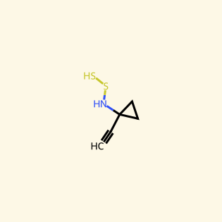 C#CC1(NSS)CC1